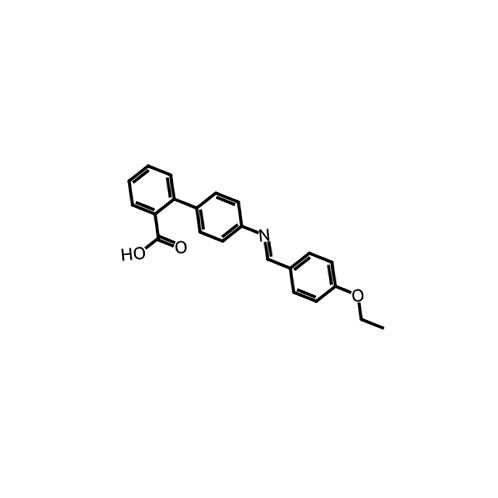 CCOc1ccc(/C=N/c2ccc(-c3ccccc3C(=O)O)cc2)cc1